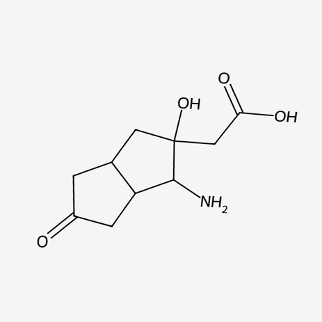 NC1C2CC(=O)CC2CC1(O)CC(=O)O